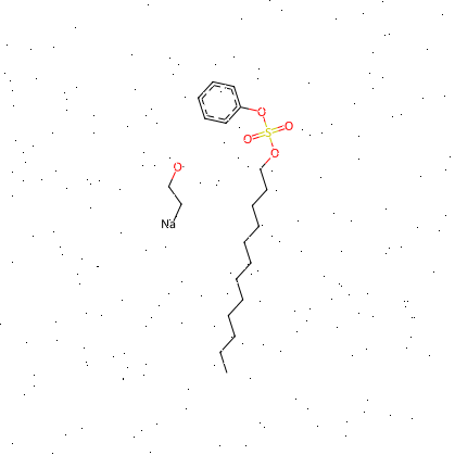 CCCCCCCCCCCCOS(=O)(=O)Oc1ccccc1.[O]C[CH2][Na]